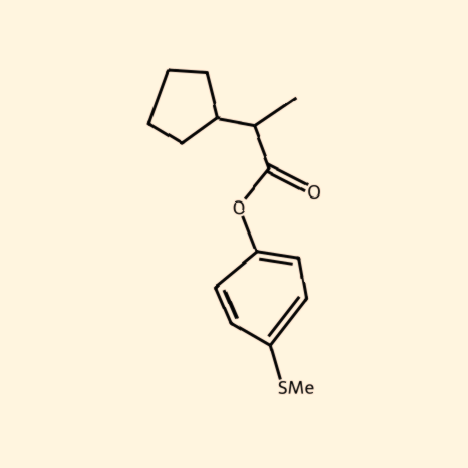 CSc1ccc(OC(=O)C(C)C2CCCC2)cc1